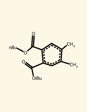 CCCCOC(=O)c1cc(C)c(C)cc1C(=O)OCC(C)C